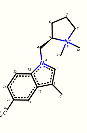 Cc1cn(C[C@H]2CCC[N+]2(C)C)c2ccc(C(=O)O)cc12